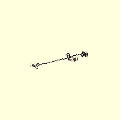 CC(C)(C)C(=O)OCCCCCCCCCCCCCCCCCCCCCCCC[C@H](C(=O)O)[C@@](CCCCCCCCCS(=O)(=O)c1nnn[nH]1)(O[Si](C)(C)C(C)(C)C)c1ccccc1